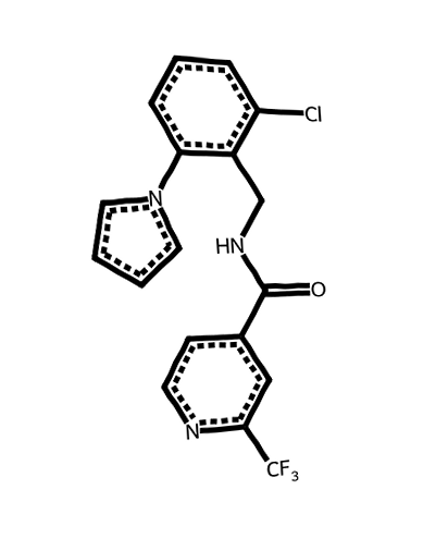 O=C(NCc1c(Cl)cccc1-n1cccc1)c1ccnc(C(F)(F)F)c1